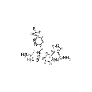 CC(C)CN(Cc1ccc(C(F)(F)F)nn1)C(=O)c1ccc2nc(N)c3c(c2c1)COC3